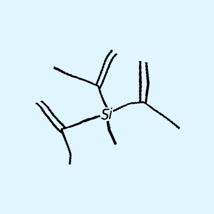 C=C(C)[Si](C)(C(=C)C)C(=C)C